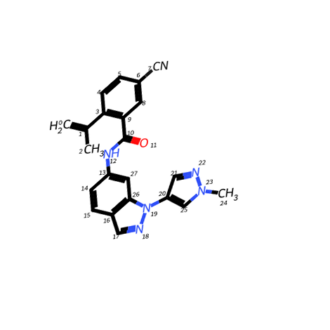 C=C(C)c1ccc(C#N)cc1C(=O)Nc1ccc2cnn(-c3cnn(C)c3)c2c1